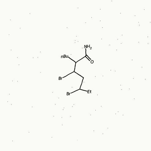 [CH2]CC(Br)CC(Br)C(CCCC)C(N)=O